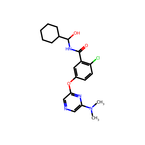 CN(C)c1cncc(Oc2ccc(Cl)c(C(=O)NC(O)C3CCCCC3)c2)n1